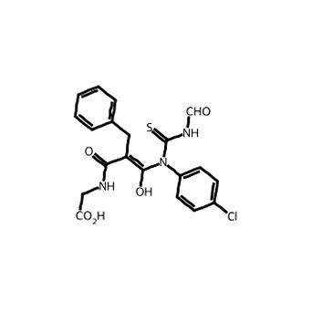 O=CNC(=S)N(/C(O)=C(\Cc1ccccc1)C(=O)NCC(=O)O)c1ccc(Cl)cc1